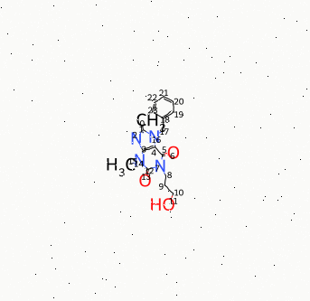 Cc1nc2c(c(=O)n(CCCO)c(=O)n2C)n1Cc1ccccc1